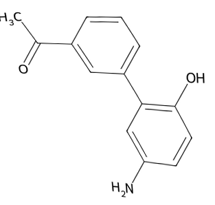 CC(=O)c1cccc(-c2cc(N)ccc2O)c1